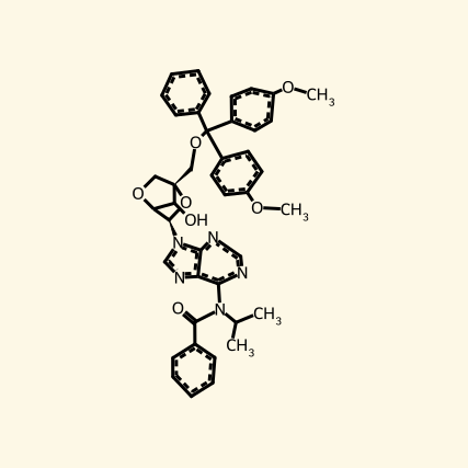 COc1ccc(C(OC[C@]23COC(C2O)[C@H](n2cnc4c(N(C(=O)c5ccccc5)C(C)C)ncnc42)O3)(c2ccccc2)c2ccc(OC)cc2)cc1